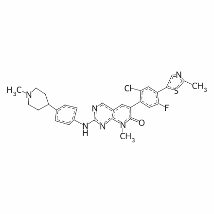 Cc1ncc(-c2cc(Cl)c(-c3cc4cnc(Nc5ccc(C6CCN(C)CC6)cc5)nc4n(C)c3=O)cc2F)s1